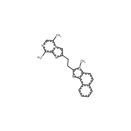 Cc1ncc(C)n2cc(CCc3nc4c5ccccc5ccc4n3C)nc12